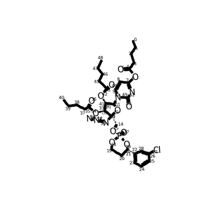 CCCCC(=O)Oc1ccn(C2O[C@@](CO[P@@]3(=O)OCC[C@@H](c4cccc(Cl)c4)O3)(N=[N+]=[N-])[C@@H](OC(=O)CCCC)[C@H]2OC(=O)CCCC)c(=O)n1